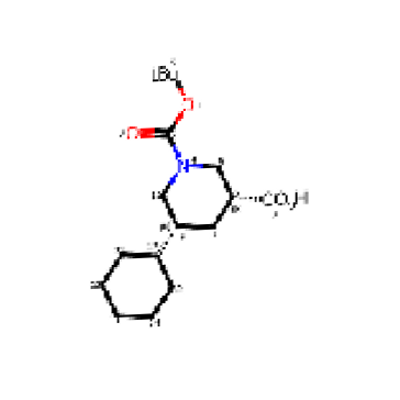 CC(C)(C)OC(=O)N1C[C@H](C(=O)O)C[C@H](C2CCCCC2)C1